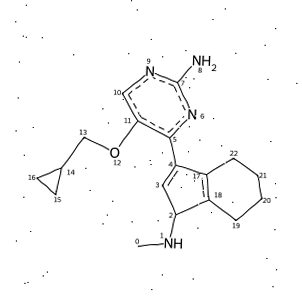 CNC1C=C(c2nc(N)ncc2OCC2CC2)C2=C1CCCC2